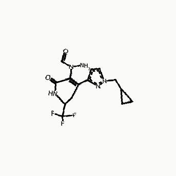 NN(C=O)C1=C(c2ccn(CC3CC3)n2)CC(C(F)(F)F)NC1=O